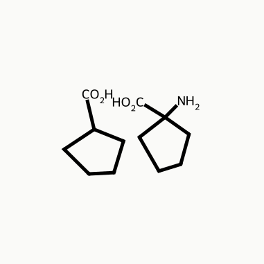 NC1(C(=O)O)CCCC1.O=C(O)C1CCCC1